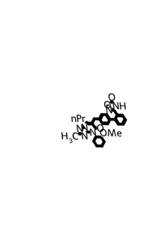 CCCc1c(Cc2ccc(-c3ccccc3-c3noc(=O)[nH]3)cc2)c(=O)n(C2CCCCC2OC)c2nc(C)nn12